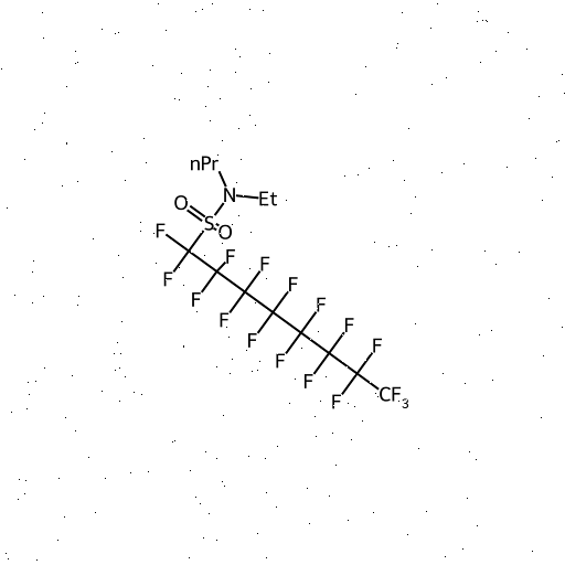 [CH2]CN(CCC)S(=O)(=O)C(F)(F)C(F)(F)C(F)(F)C(F)(F)C(F)(F)C(F)(F)C(F)(F)C(F)(F)F